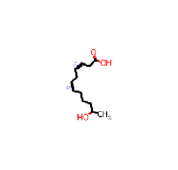 CC(O)CCC/C=C\C/C=C\CC(=O)O